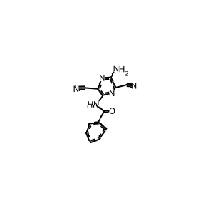 N#Cc1nc(NC(=O)c2ccccc2)c(C#N)nc1N